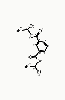 CCCC(CC)OC(=O)c1cccc(C(=O)OC(CC)CCC)c1